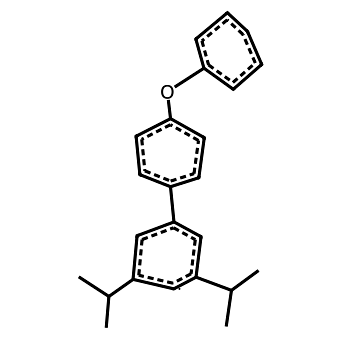 CC(C)c1[c]c(C(C)C)cc(-c2ccc(Oc3ccccc3)cc2)c1